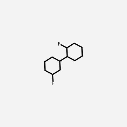 FC1CCC[C](C2CCCCC2F)C1